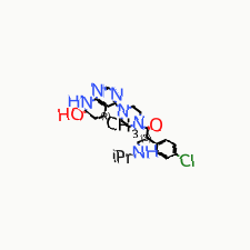 CC(C)NC[C@@H](C(=O)N1CCN(c2ncnc3c2[C@H](C)CC(O)N3)CC1)c1ccc(Cl)cc1